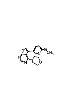 COc1ncc(-c2c[nH]c3ncnc(N4CCOCC4)c23)cn1